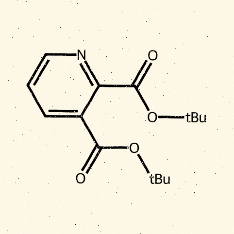 CC(C)(C)OC(=O)c1cccnc1C(=O)OC(C)(C)C